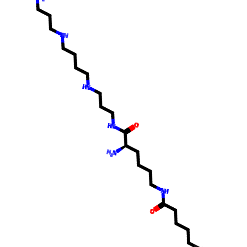 CCCCCCCCCCCCCCC(=O)NCCCC[C@@H](N)C(=O)NCCCNCCCCNCCCN